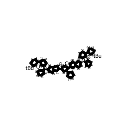 CC(C)(C)c1cccc2c1oc1c(N(c3ccccc3)c3ccc4cc5c(cc4c3)oc3c5cc(-c4ccccc4)c4c5cc6ccc(N(c7ccccc7)c7cccc8c7oc7c(C(C)(C)C)cccc78)cc6cc5oc34)cccc12